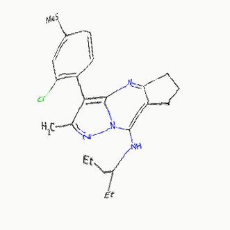 CCC(CC)Nc1c2c(nc3c(-c4ccc(SC)cc4Cl)c(C)nn13)CCC2